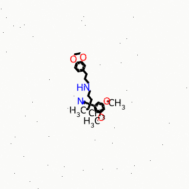 COc1cc(OC)cc(C(C#N)(CCCNCCCc2ccc3c(c2)OCCO3)C(C)C)c1